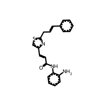 Nc1ccccc1NC(=O)C=Cc1csc(CC=Cc2ccccc2)n1